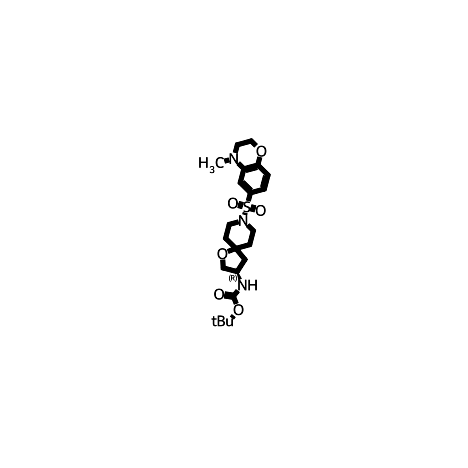 CN1CCOc2ccc(S(=O)(=O)N3CCC4(CC3)C[C@@H](NC(=O)OC(C)(C)C)CO4)cc21